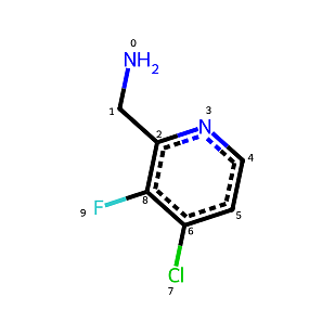 NCc1nccc(Cl)c1F